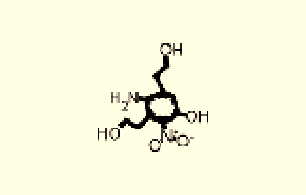 Nc1c(CCO)cc(O)c([N+](=O)[O-])c1CCO